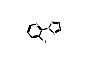 Clc1cccnc1-n1nccn1